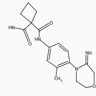 Cc1cc(NC(=O)C2(C([NH])=O)CCC2)ccc1N1CCOCC1=N